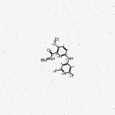 CCOc1ccc(Nc2cc(F)nc(F)c2)nc1C(=O)NC(C)(C)C